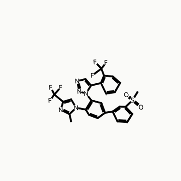 Cc1nc(C(F)(F)F)cn1-c1ccc(-c2cccc(S(C)(=O)=O)c2)cc1-n1nncc1-c1[c]cccc1C(F)(F)F